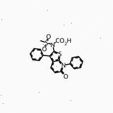 CS(=O)(=O)N(C(=O)O)c1sc2c(ccc(=O)n2-c2ccccc2)c1-c1ccccc1